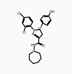 O=C(NN1CCCCCC1)C1=NN(c2ccc(Cl)cc2Cl)[C@@H](c2ccc(O)cc2)C1